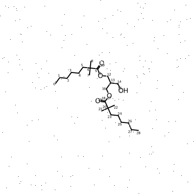 CCCCCCC(C)(C)C(=O)OCC(CO)COC(=O)C(C)(C)CCCCCC